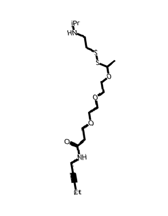 CCC#CCNC(=O)CCOCCOCCOC(C)SSCCNC(C)C